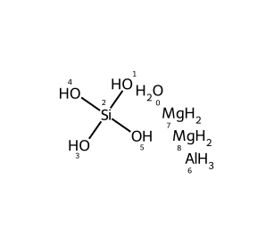 O.O[Si](O)(O)O.[AlH3].[MgH2].[MgH2]